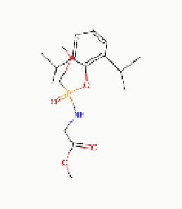 COCP(=O)(NCC(=O)OC)Oc1c(C(C)C)cccc1C(C)C